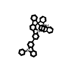 CC1C=CC=CC1C1(c2ccccc2)c2ccccc2-c2ccc3c4cc(-c5ccc6c(c5)c5ccccc5n6-c5ccccc5)ccc4n(C4CC=C5C=CC=CC5C4)c3c21